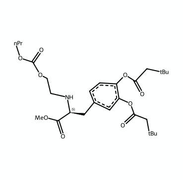 CCCOC(=O)OCCN[C@@H](Cc1ccc(OC(=O)CC(C)(C)C)c(OC(=O)CC(C)(C)C)c1)C(=O)OC